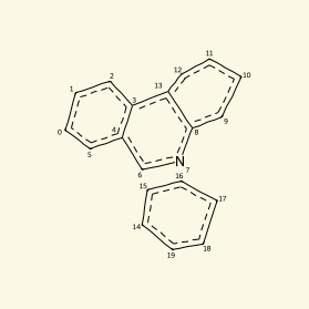 c1ccc2c(c1)cnc1ccccc12.c1ccccc1